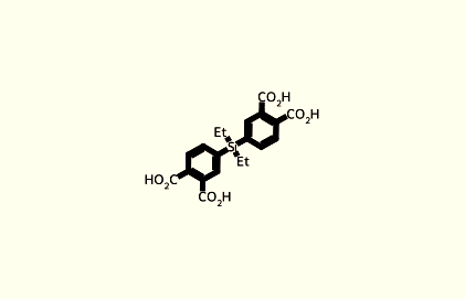 CC[Si](CC)(c1ccc(C(=O)O)c(C(=O)O)c1)c1ccc(C(=O)O)c(C(=O)O)c1